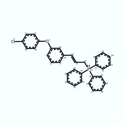 Clc1ccc(Oc2cccc(C=CC[PH](c3ccccc3)(c3ccccc3)c3ccccc3)c2)cc1